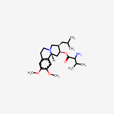 COc1cc2c(cc1OC)[C@H]1C[C@H](OC(=O)C(N)C(C)C)[C@H](CC(C)C)CN1CC2